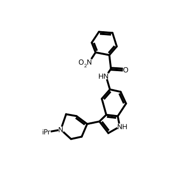 CC(C)N1CC=C(c2c[nH]c3ccc(NC(=O)c4ccccc4[N+](=O)[O-])cc23)CC1